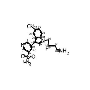 CN(C)S(=O)(=O)c1cncc(-c2cn(CC(F)=CCN)c3ccc(Cl)cc23)c1